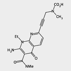 CCn1c(N)c(C(=O)NC)c(=O)c2ccc(C#CCN(C)C(=O)O)nc21